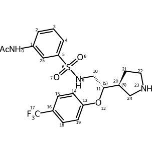 CC(=O)Nc1cccc(S(=O)(=O)NC[C@@H](Oc2ccc(C(F)(F)F)cc2)[C@H]2CCNC2)c1